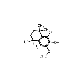 CC1(C)CCC(C)(C)c2c1cc(OC=O)c(O)c2Br